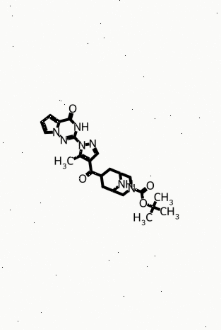 Cc1c(C(=O)C2CC3CN(C(=O)OC(C)(C)C)CC(C2)N3)cnn1-c1nn2cccc2c(=O)[nH]1